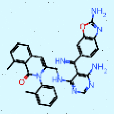 Cc1ccccc1-n1c(CNc2ncnc(N)c2C(=N)c2ccc3nc(N)oc3c2)cc2cccc(C)c2c1=O